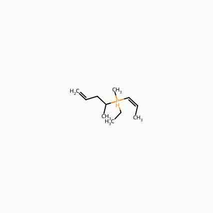 C=CCC(C)[PH](C)(/C=C\C)CC